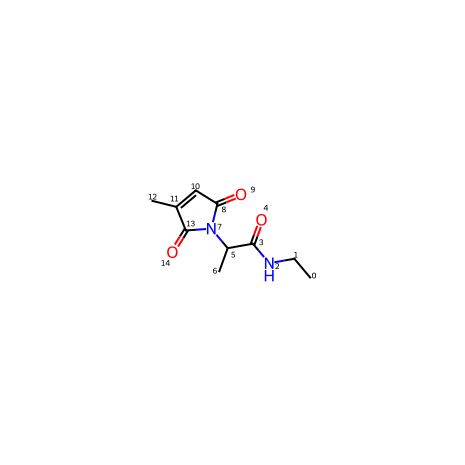 CCNC(=O)C(C)N1C(=O)C=C(C)C1=O